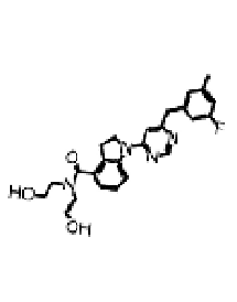 Cc1cc(F)cc(Cc2cc(N3CCc4c(C(=O)N(CCO)CCO)cccc43)ncn2)c1